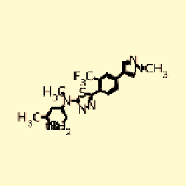 CC(N)CC(CC(C)(C)C)N(C)c1nnc(-c2ccc(-c3cnn(C)c3)cc2C(F)(F)F)s1